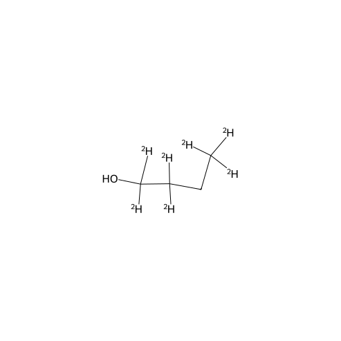 [2H]C([2H])([2H])CC([2H])([2H])C([2H])([2H])O